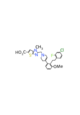 COc1cccc(C2=CCN(Cc3nc4sc(C(=O)O)cc4n3C)CC2)c1CCc1ccc(Cl)cc1F